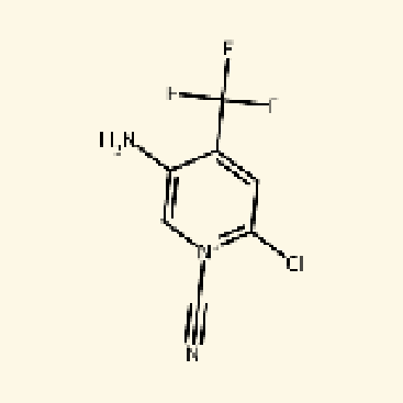 N#C[n+]1cc(N)c(C(F)(F)F)cc1Cl